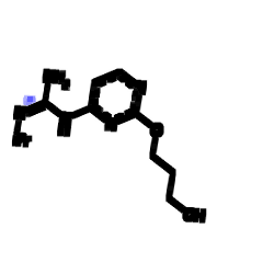 CC(C)/N=C(/N)Nc1ccnc(OCCCO)n1